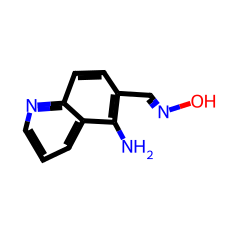 Nc1c(C=NO)ccc2ncccc12